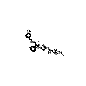 CS(=O)(=O)NCCNc1ccc(NC(=O)C(CNCCc2ccc(C#N)cc2)c2ccccc2)nc1